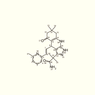 Cc1cccc(/C=C/C2C3=C(CC(C)(C)CC3=O)Nc3[nH]nc(C(C)(C)C(N)=O)c32)n1